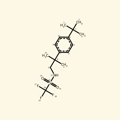 CC(C)(C)c1ccc(C(C)(C)CNS(=O)(=O)C(F)(F)F)cc1